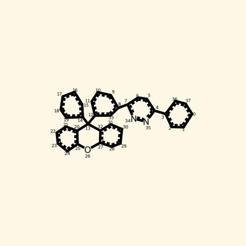 c1ccc(-c2ccc(-c3cccc(C4(c5ccccc5)c5ccccc5Oc5ccccc54)c3)nn2)cc1